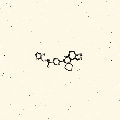 O=C(NCc1ncc[nH]1)c1ccc(-c2nc3ccc4[nH]ncc4c3c3c2CCCC3)cc1